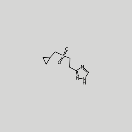 O=S(=O)(CCc1nc[nH]n1)CC1CC1